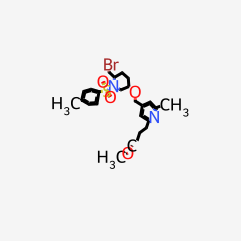 COCCCCc1cc(COC2CCC(CBr)N(S(=O)(=O)c3ccc(C)cc3)C2)cc(C)n1